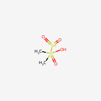 CS(C)(=O)(O)[SH](=O)=O